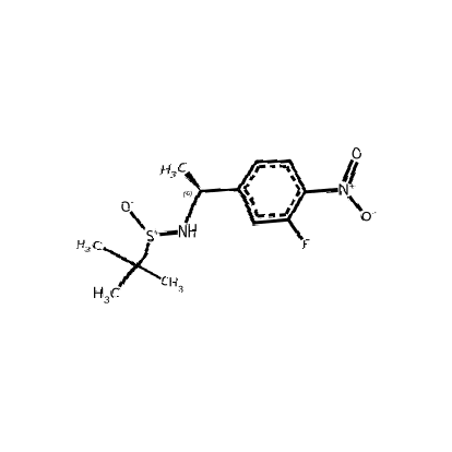 C[C@H](N[S+]([O-])C(C)(C)C)c1ccc([N+](=O)[O-])c(F)c1